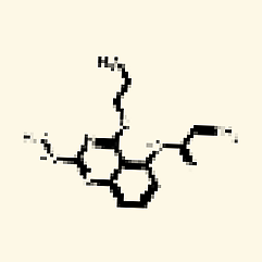 C=CC(=O)Nc1cccc2nc(NC)nc(OCCC)c12